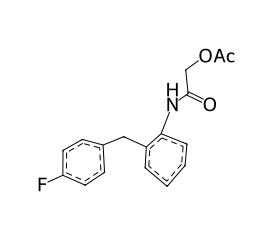 CC(=O)OCC(=O)Nc1ccccc1Cc1ccc(F)cc1